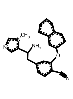 Cn1cncc1C(N)Cc1ccc(C#N)c(Oc2ccc3ccccc3c2)c1